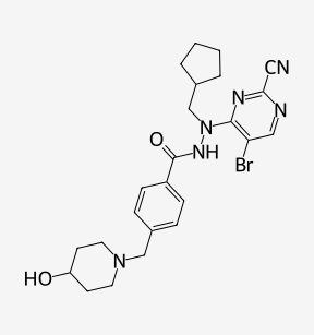 N#Cc1ncc(Br)c(N(CC2CCCC2)NC(=O)c2ccc(CN3CCC(O)CC3)cc2)n1